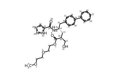 COCCOCCOC(=O)[C@H](CO)C[C@@H](Cc1ccc(-c2ccccc2)cc1)NC(=O)c1cnn[nH]1